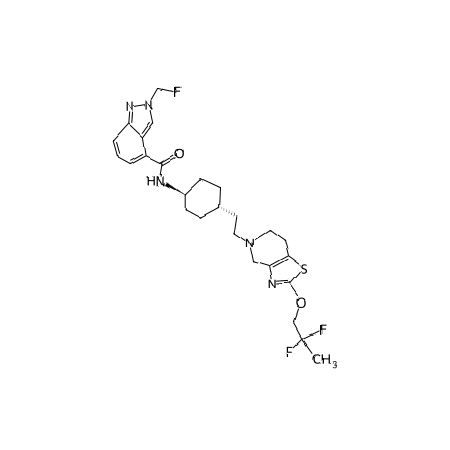 CC(F)(F)COc1nc2c(s1)CCN(CC[C@H]1CC[C@H](NC(=O)c3cccc4nn(CF)cc34)CC1)C2